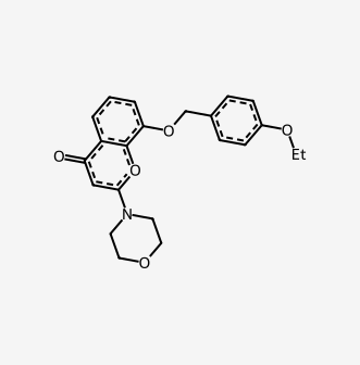 CCOc1ccc(COc2cccc3c(=O)cc(N4CCOCC4)oc23)cc1